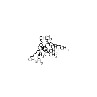 C=CCOc1c(CC(C)(CC)CCCCCC)cc(C(C)(C)C)cc1C(C)(CCC)CCCCCC